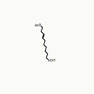 CCCCCCCCCCCCCCC=CCCOC(C)=O